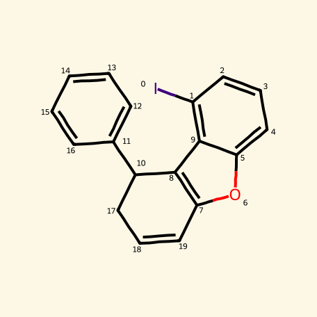 Ic1cccc2oc3c(c12)C(c1ccccc1)CC=C3